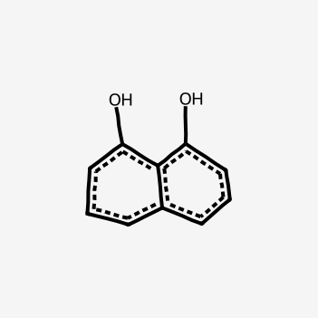 Oc1cccc2cccc(O)c12